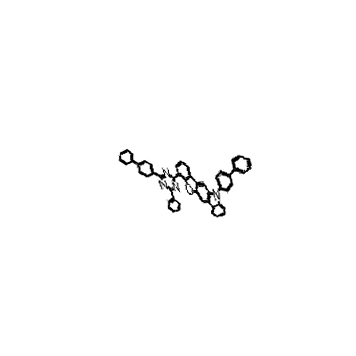 c1ccc(-c2ccc(-c3nc(-c4ccccc4)nc(-c4cccc5c4oc4cc6c7ccccc7n(-c7ccc(-c8ccccc8)cc7)c6cc45)n3)cc2)cc1